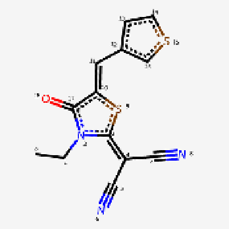 CCn1c(=C(C#N)C#N)sc(=Cc2ccsc2)c1=O